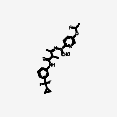 C/C(=N/N(C=O)c1ccc(OC(F)F)cn1)C(C)C(=O)Nc1cccc(C(F)(F)C2CC2)c1